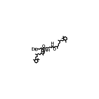 CCOCCCNC(=O)C(CCCCNC(=O)CC(C)CCCC(C)CCC1=C(C)CCCC1(C)C)NC(=O)CC(C)CCCC(C)CCC1=C(C)CCCC1(C)C